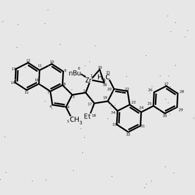 CCC[CH2][Zr]1([CH](C2C(C)=Cc3c2ccc2ccccc32)C(CC)C2C(C)=Cc3c(-c4ccccc4)cccc32)[CH2][CH2]1